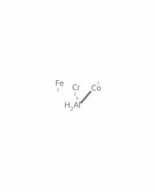 [AlH2][Co].[Cr].[Fe]